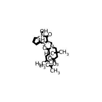 CC(C)CCC(=O)N(C[C@@H](Sc1cccs1)C(=O)NO)CC(C)(C)CC(=O)OC(C)C